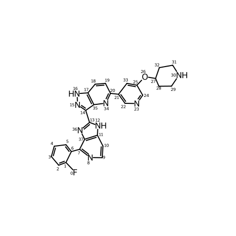 Fc1ccccc1-c1nccc2[nH]c(-c3n[nH]c4ccc(-c5cncc(OC6CCNCC6)c5)nc34)nc12